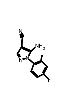 Cc1cc(F)ccc1-n1ncc(C#N)c1N